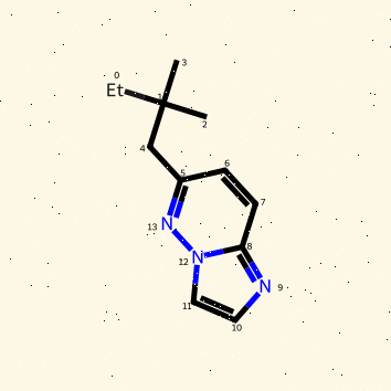 CCC(C)(C)Cc1ccc2nccn2n1